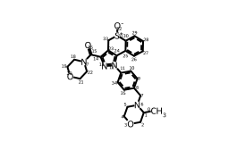 CC1COCCN1Cc1ccc(-n2nc(C(=O)N3CCOCC3)c3c2-c2ccccc2[S+]([O-])C3)cc1